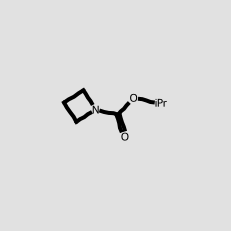 CC(C)OC(=O)N1CCC1